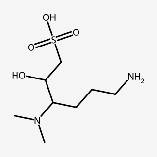 CN(C)C(CCCN)C(O)CS(=O)(=O)O